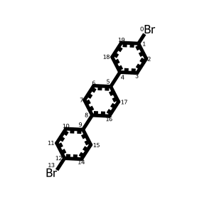 Brc1ccc(-c2ccc(-c3ccc(Br)cc3)cc2)cc1